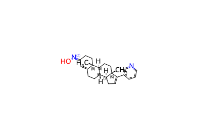 C[C@]12CC/C(=N/O)C=C1CC[C@@H]1[C@@H]2CC[C@]2(C)C(c3cccnc3)=CC[C@@H]12